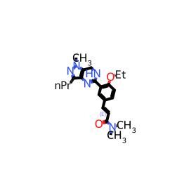 CCCc1nn(C)c2c1N=C(c1cc(/C=C/C(=O)N(C)C)ccc1OCC)NC2